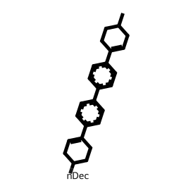 CCCCCCCCCCC1CC=C(c2ccc(-c3ccc(C4=CCC(C)CC4)cc3)cc2)CC1